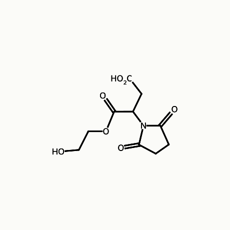 O=C(O)CC(C(=O)OCCO)N1C(=O)CCC1=O